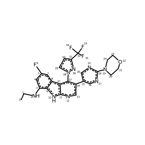 CCNc1cc(F)cc2c1[nH]c1ncc(-c3cnc(N4CCOCC4)nc3)c(-n3ccc(C(F)(F)F)n3)c12